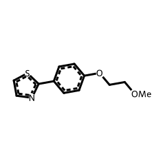 COCCOc1ccc(-c2nccs2)cc1